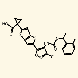 Cc1ccccc1C(C)OC(=O)Nc1c(Cl)noc1-c1cc2sc(C3(C(=O)O)CC3)cc2s1